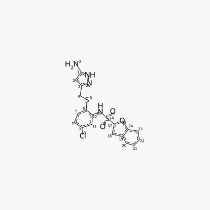 Nc1cc(CSc2ccc(Cl)cc2NS(=O)(=O)c2cc3ccccc3o2)n[nH]1